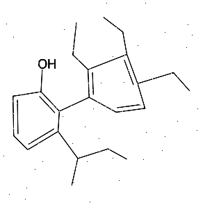 CCc1ccc(-c2c(O)cccc2C(C)CC)c(CC)c1CC